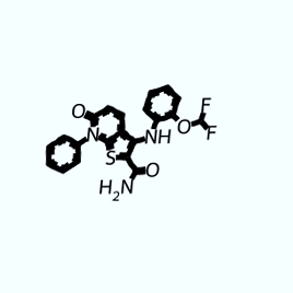 NC(=O)c1sc2c(ccc(=O)n2-c2ccccc2)c1Nc1ccccc1OC(F)F